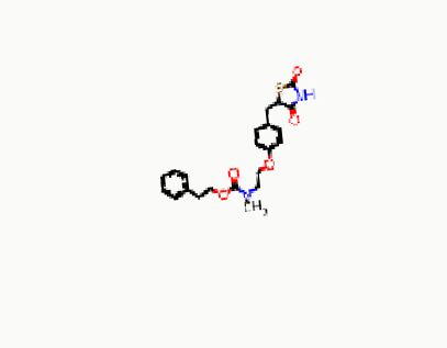 CN(CCOc1ccc(CC2SC(=O)NC2=O)cc1)C(=O)OCCc1ccccc1